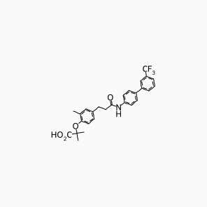 Cc1cc(CCC(=O)Nc2ccc(-c3cccc(C(F)(F)F)c3)cc2)ccc1OC(C)(C)C(=O)O